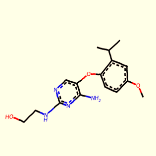 COc1ccc(Oc2cnc(NCCO)nc2N)c(C(C)C)c1